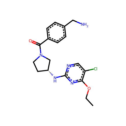 CCOc1nc(N[C@@H]2CCN(C(=O)c3ccc(CN)cc3)C2)ncc1Cl